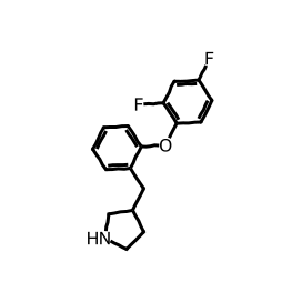 Fc1ccc(Oc2ccccc2CC2CCNC2)c(F)c1